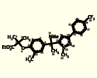 CCOC(=O)C(C)(C)Oc1ccc(C(C)(NC)c2cc(-c3ccc(C(F)(F)F)cc3)nn2C)cc1C